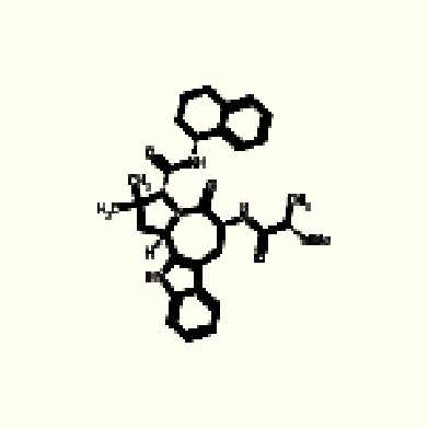 CN[C@@H](C)C(=O)N[C@H]1Cc2c([nH]c3ccccc23)[C@H]2CC(C)(C)[C@H](C(=O)N[C@@H]3CCCc4ccccc43)N2C1=O